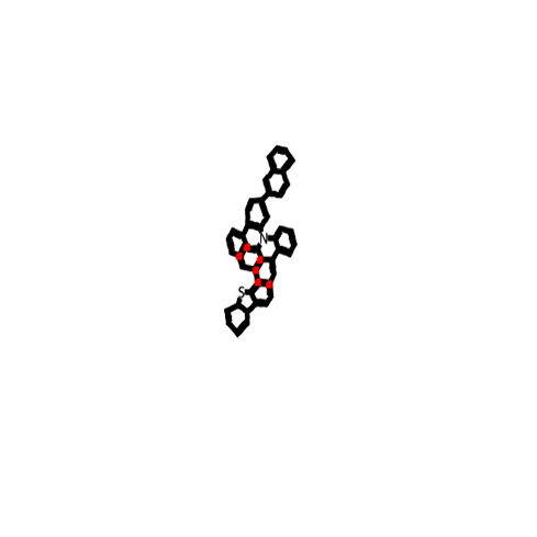 C1=CC2Sc3c(-c4cccc(N(c5ccccc5-c5ccccc5)c5cc(-c6ccc7ccccc7c6)ccc5-c5ccccc5)c4)cccc3C2C=C1